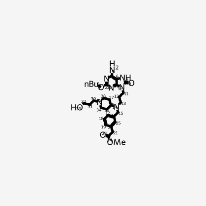 CCCCOc1nc(N)c2[nH]c(=O)n(CCCN(Cc3cccc(CC(=O)OC)c3)C3CCN(CCCO)CC3)c2n1